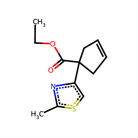 CCOC(=O)C1(c2csc(C)n2)CC=CC1